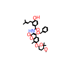 CO[C@@H]1CC[C@H](Oc2ccc3c(OCc4ccccc4)c(NC(=O)c4ccc(O)c(CC=C(C)C)c4)c(=O)oc3c2C)OC1(C)C